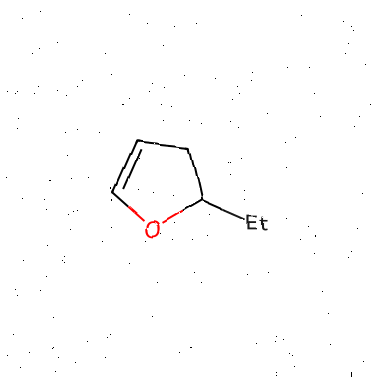 CCC1CC=CO1